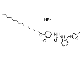 Br.CCCCCCCCCCCCCCOc1ccc(NC(=O)Nc2ccccc2CN2C=C(C)SC2)cc1OC